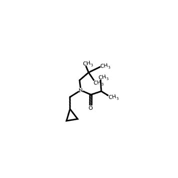 CC(C)C(=O)N(CC1CC1)CC(C)(C)C